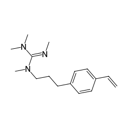 C=Cc1ccc(CCCN(C)C(=NC)N(C)C)cc1